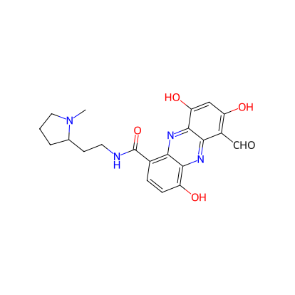 CN1CCCC1CCNC(=O)c1ccc(O)c2nc3c(C=O)c(O)cc(O)c3nc12